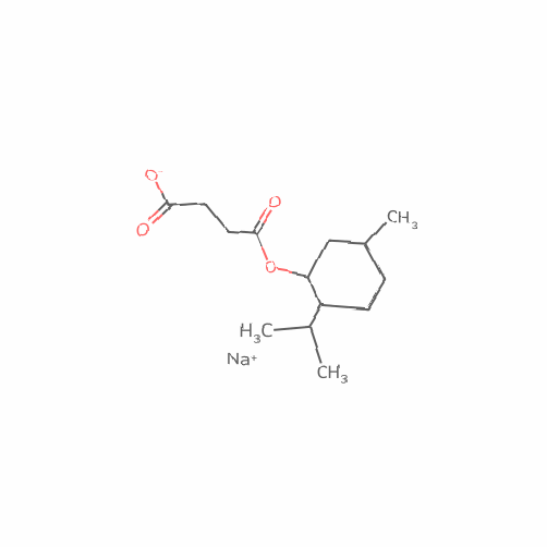 CC1CCC(C(C)C)C(OC(=O)CCC(=O)[O-])C1.[Na+]